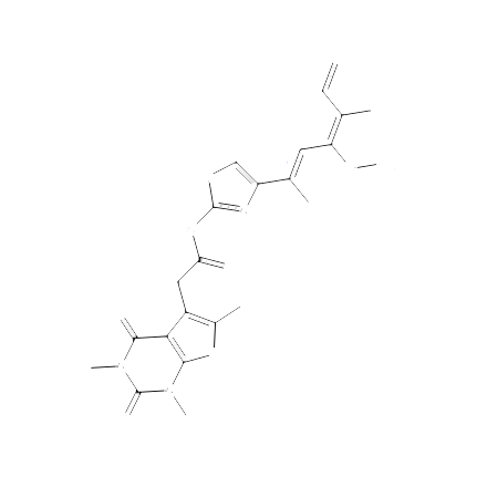 C=C/C(F)=C(\C=C(/C)c1csc(NC(=O)Cc2c(C)sc3c2c(=O)n(C)c(=O)n3C)n1)OC(F)(F)F